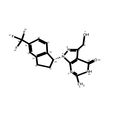 Cc1nc2c(c(CO)nn2[C@@H]2CCc3cc(C(F)(F)F)ccc32)c(=O)[nH]1